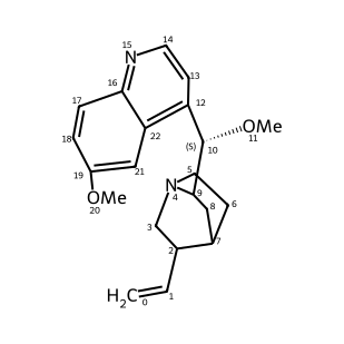 C=CC1CN2CCC1CC2[C@@H](OC)c1ccnc2ccc(OC)cc12